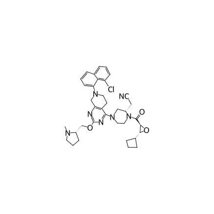 CN1CCC[C@H]1COc1nc2c(c(N3CCN(C(=O)[C@H]4O[C@@H]4C4CCC4)[C@@H](CC#N)C3)n1)CCN(c1cccc3cccc(Cl)c13)C2